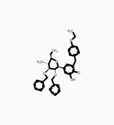 CCOc1ccc(Cc2cc([C@@H]3O[C@H](CC)[C@@H](C)[C@H](OCc4ccccc4)[C@H]3OCc3ccccc3)cc(O)c2Cl)cc1